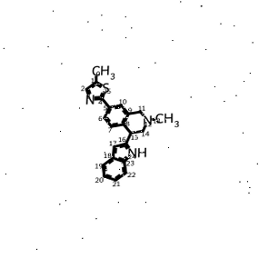 Cc1cnc(-c2ccc3c(c2)CN(C)CC3c2cc3ccccc3[nH]2)s1